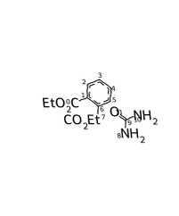 CCOC(=O)c1ccccc1C(=O)OCC.NC(N)=O